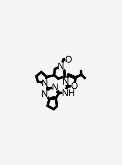 CC(C)c1cnc(Nc2nc(N3CCCC3C3CCCN(C=O)C3)nc3c2CCC3)o1